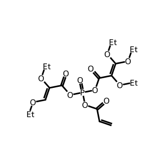 C=CC(=O)OP(=O)(OC(=O)C(=COCC)OCC)OC(=O)C(OCC)=C(OCC)OCC